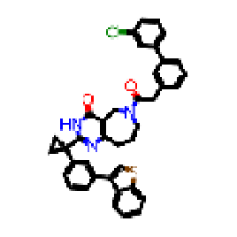 O=C(Cc1cccc(-c2cccc(Cl)c2)c1)N1CCCc2nc(C3(c4cccc(-c5csc6ccccc56)c4)CC3)[nH]c(=O)c2C1